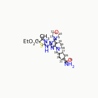 CCOC(=O)c1sc(Nc2nc(N3CCOCC3)c3c(n2)N(Cc2ccc(C(N)=O)cc2)CCC3)nc1C